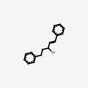 OC(C=Cc1ccccc1)CCc1ccccc1